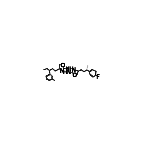 CCC(CCC1COC(NNC2=N[C@@H](CC[C@H](C)c3ccc(F)cc3)CO2)=N1)c1cccc(C)c1